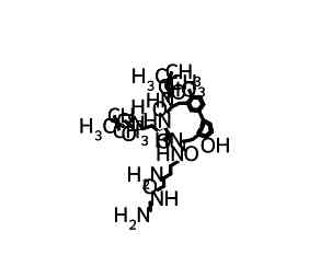 CC(C)(C)OC(=O)NCCC[C@@H]1NC(=O)[C@@H](NC(=O)OC(C)(C)C)Cc2cc(ccc2O)-c2ccc(O)c(c2)C[C@@H](C(=O)NCCC[C@H](N)CC(=O)NCCN)NC1=O